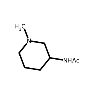 CC(=O)NC1CCCN(C)C1